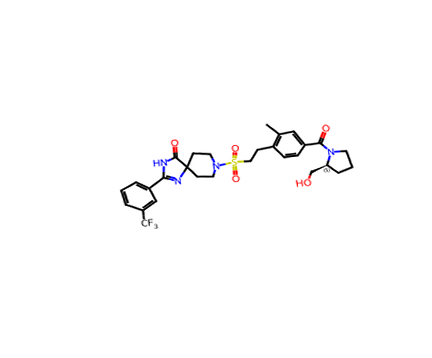 Cc1cc(C(=O)N2CCC[C@H]2CO)ccc1CCS(=O)(=O)N1CCC2(CC1)N=C(c1cccc(C(F)(F)F)c1)NC2=O